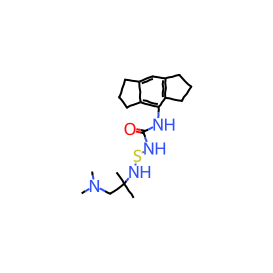 CN(C)CC(C)(C)NSNC(=O)Nc1c2c(cc3c1CCC3)CCC2